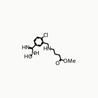 COC(=O)CCCNCc1cc(C(=N)NO)ccc1Cl